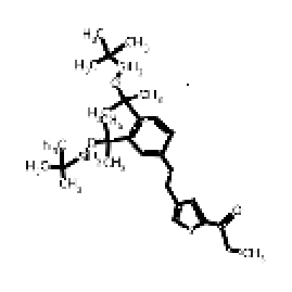 CCC(=O)c1cc(CCc2ccc(C(C)(C)O[SiH2]C(C)(C)C)c(C(C)(C)O[SiH2]C(C)(C)C)c2)cs1